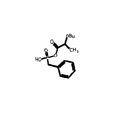 CCCCC(C)C(=O)OP(=O)(O)Cc1ccccc1